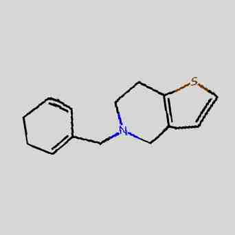 C1=CC(CN2CCc3sccc3C2)=CCC1